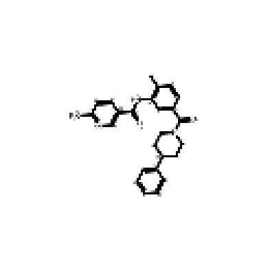 Cc1ccc(C(=O)N2CCC(c3ccccc3)CC2)cc1NC(=O)c1ccc(C(F)(F)F)nc1